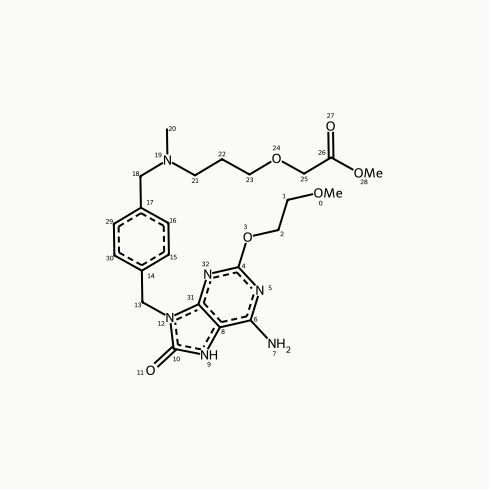 COCCOc1nc(N)c2[nH]c(=O)n(Cc3ccc(CN(C)CCCOCC(=O)OC)cc3)c2n1